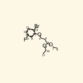 CCOC(CCOc1cc(F)ccc1Br)OCC